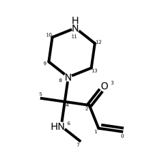 C=CC(=O)C(C)(NC)N1CCNCC1